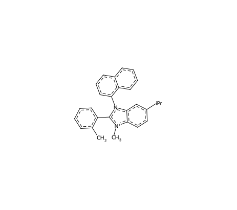 Cc1ccccc1-c1n(-c2cccc3ccccc23)c2cc(C(C)C)ccc2[n+]1C